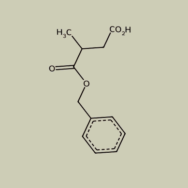 CC(CC(=O)O)C(=O)OCc1ccccc1